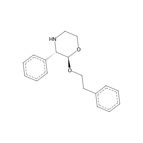 c1ccc(CCO[C@@H]2OCCN[C@H]2c2ccccc2)cc1